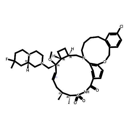 CO[C@@]1(CN2CCN3CCC(C)(F)C[C@H]3C2)/C=C/C[C@H](C)[C@@H](C)S(=O)(=O)NC(=O)c2ccc3c(c2)N(CCCCc2cc(Cl)ccc2CO3)C[C@@H]2CC[C@H]21